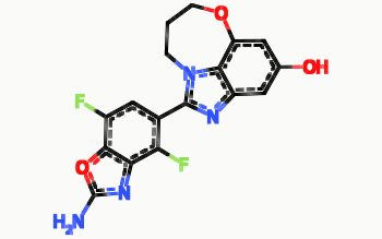 Nc1nc2c(F)c(-c3nc4cc(O)cc5c4n3CCCO5)cc(F)c2o1